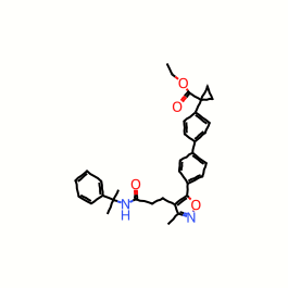 CCOC(=O)C1(c2ccc(-c3ccc(-c4onc(C)c4CCC(=O)NC(C)(C)c4ccccc4)cc3)cc2)CC1